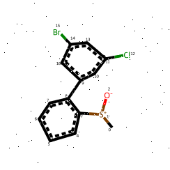 C[S+]([O-])c1ccccc1-c1cc(Cl)cc(Br)c1